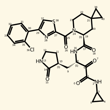 O=C(NC1CC1)C(=O)[C@H](C[C@@H]1CCNC1=O)NC(=O)[C@@H]1CC2(CCN1C(=O)c1nc(-c3ccccc3Cl)cs1)CC2